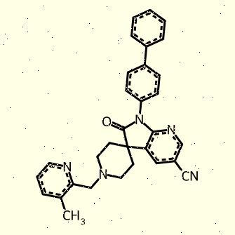 Cc1cccnc1CN1CCC2(CC1)C(=O)N(c1ccc(-c3ccccc3)cc1)c1ncc(C#N)cc12